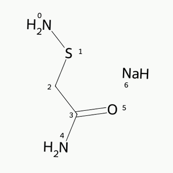 NSCC(N)=O.[NaH]